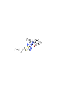 CCOC(=O)CSc1nnc(NC(=O)N(CCC(C)C)[C@H]2CC[C@H](C)CC2)s1